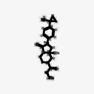 CC(C)(C)OC(=O)N1CCN2C(=O)N(c3ccc(C4(C#N)CC4)cc3)C[C@@H]2C1